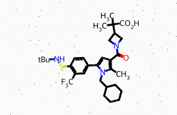 Cc1c(C(=O)N2CC(C(C)(C)C(=O)O)C2)cc(-c2ccc(SNC(C)(C)C)c(C(F)(F)F)c2)n1CC1CCCCC1